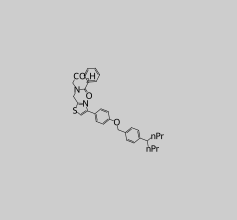 CCCC(CCC)c1ccc(COc2ccc(-c3csc(CN(CC(=O)O)C(=O)c4ccccc4)n3)cc2)cc1